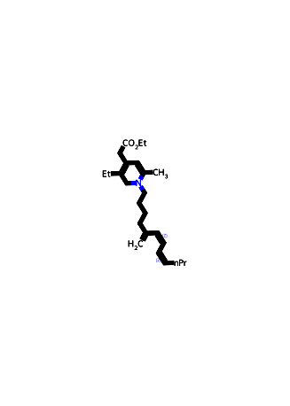 C=C(/C=C\C=C/CCC)CCCCN1CC(CC)=C(CC(=O)OCC)C=C1C